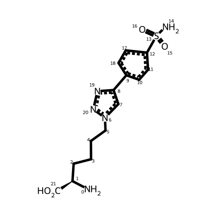 N[C@H](CCCCn1cc(-c2ccc(S(N)(=O)=O)cc2)nn1)C(=O)O